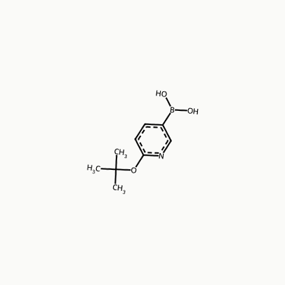 CC(C)(C)Oc1ccc(B(O)O)cn1